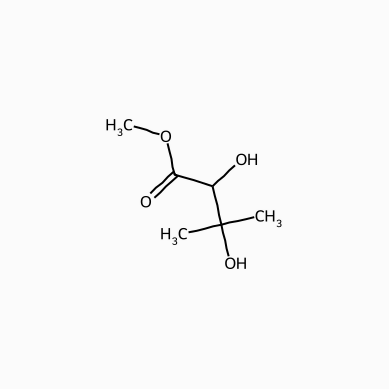 COC(=O)C(O)C(C)(C)O